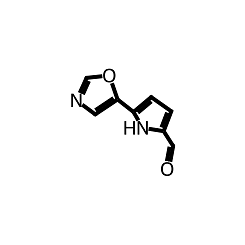 O=Cc1ccc(-c2cnco2)[nH]1